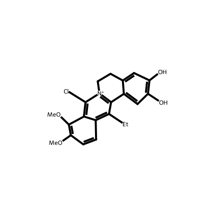 CCc1c2[n+](c(Cl)c3c(OC)c(OC)ccc13)CCc1cc(O)c(O)cc1-2